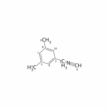 C#N.Cc1cc(C)cc(C)c1